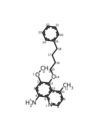 COc1cc(N)c2nccc(C)c2c1OCCCCc1ccccc1